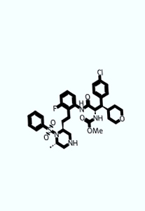 COC(=O)N[C@H](C(=O)Nc1cccc(F)c1CC[C@H]1CNC[C@H](C)N1S(=O)(=O)c1ccccc1)[C@@H](c1ccc(Cl)cc1)C1CCOCC1